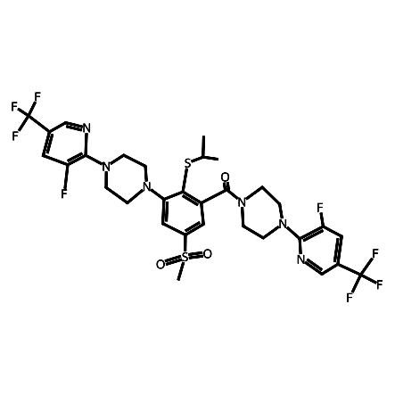 CC(C)Sc1c(C(=O)N2CCN(c3ncc(C(F)(F)F)cc3F)CC2)cc(S(C)(=O)=O)cc1N1CCN(c2ncc(C(F)(F)F)cc2F)CC1